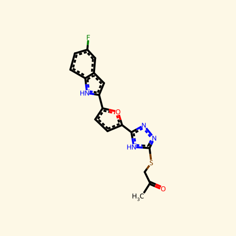 CC(=O)CSc1nnc(-c2ccc(-c3cc4cc(F)ccc4[nH]3)o2)[nH]1